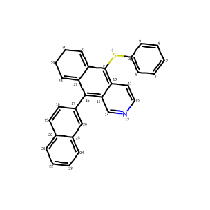 C1=c2c(Sc3ccccc3)c3ccncc3c(-c3ccc4ccccc4c3)c2=CCC1